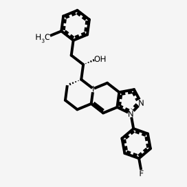 Cc1ccccc1C[C@H](O)[C@H]1CCCC2=Cc3c(cnn3-c3ccc(F)cc3)CI21